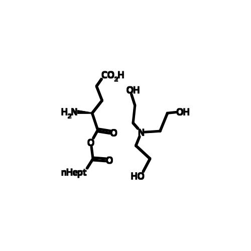 CCCCCCCC(=O)OC(=O)[C@@H](N)CCC(=O)O.OCCN(CCO)CCO